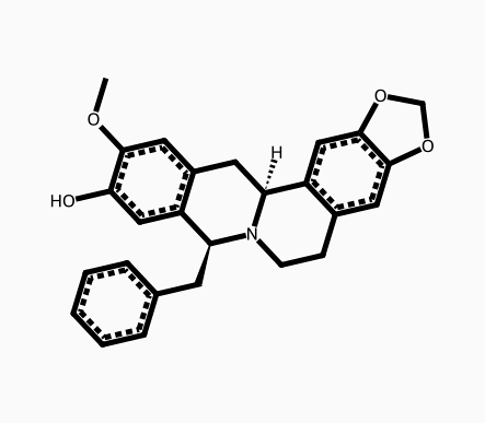 COc1cc2c(cc1O)[C@H](Cc1ccccc1)N1CCc3cc4c(cc3[C@@H]1C2)OCO4